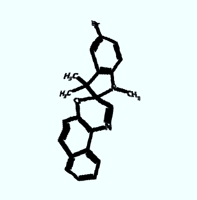 CN1c2ccc(Br)cc2C(C)(C)C12C=Nc1c(ccc3ccccc13)O2